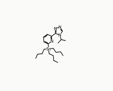 CCC[CH2][Sn]([CH2]CCC)([CH2]CCC)[c]1cccc(-c2nncn2C(C)C)n1